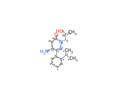 CC(C)c1ccccc1-c1nn(C[C@@H](C)O)c(=O)cc1N